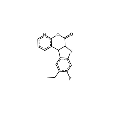 CCc1cc2c(cc1F)NC1C(=O)Oc3ncccc3C21